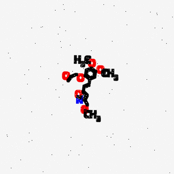 COCc1cc(C=Cc2cc(OC)c(OC)cc2OCC2CO2)on1